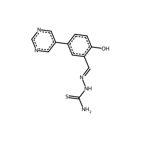 NC(=S)NN=Cc1cc(-c2cncnc2)ccc1O